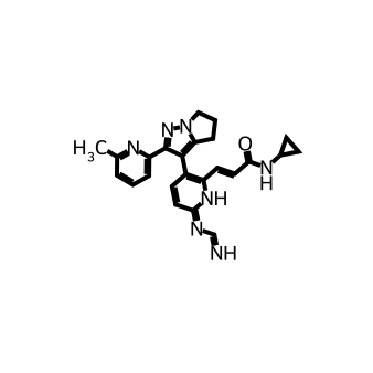 Cc1cccc(-c2nn3c(c2-c2cc/c(=N/C=N)[nH]c2/C=C/C(=O)NC2CC2)CCC3)n1